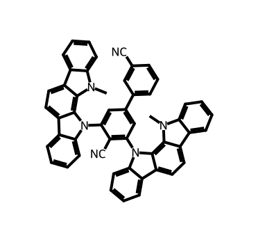 Cn1c2ccccc2c2ccc3c4ccccc4n(-c4cc(-c5cccc(C#N)c5)cc(-n5c6ccccc6c6ccc7c8ccccc8n(C)c7c65)c4C#N)c3c21